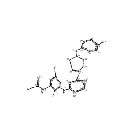 CC(=O)Nc1cc(F)cc(Nc2ncnc(N3CCC(Oc4ccc(Cl)cc4)CC3)n2)c1C